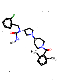 CCCNC(=O)N(Cc1ccccc1F)[C@@H]1CCN(C2CCN(C(=O)c3c(C)cccc3C)CC2)C1